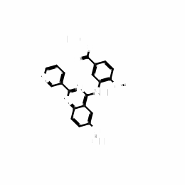 COC(=O)c1ccc(OC)c(Nc2nc(-c3cccnc3)nc3ccc(OC)cc23)c1